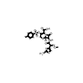 CON=C(C(=O)NC1C(=O)N2C(C(=O)O)=C(OS(=O)(=O)c3ccc(C)cc3)CS[C@@H]12)c1csc(N)n1